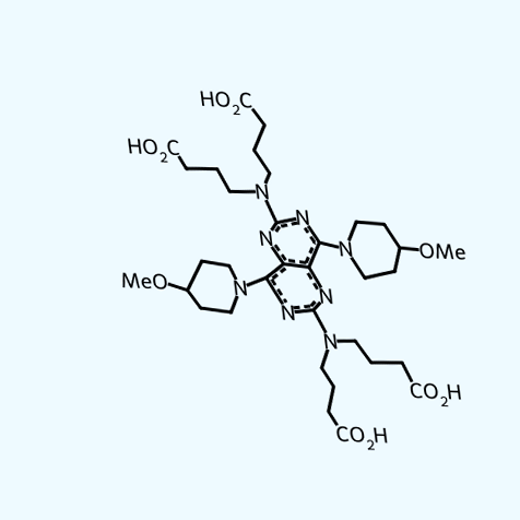 COC1CCN(c2nc(N(CCCC(=O)O)CCCC(=O)O)nc3c(N4CCC(OC)CC4)nc(N(CCCC(=O)O)CCCC(=O)O)nc23)CC1